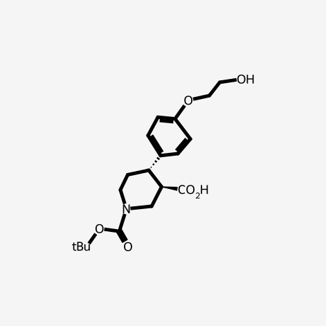 CC(C)(C)OC(=O)N1CC[C@H](c2ccc(OCCO)cc2)[C@@H](C(=O)O)C1